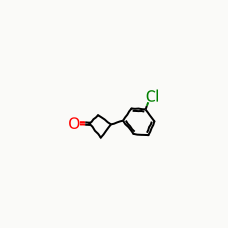 O=C1CC(c2cccc(Cl)c2)C1